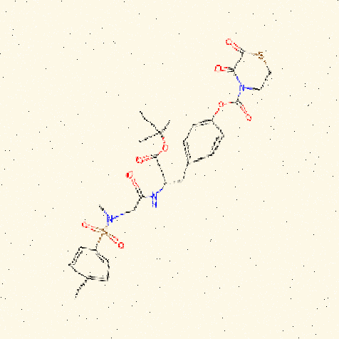 Cc1ccc(S(=O)(=O)N(C)CC(=O)N[C@@H](Cc2ccc(OC(=O)N3CCSC(=O)C3=O)cc2)C(=O)OC(C)(C)C)cc1